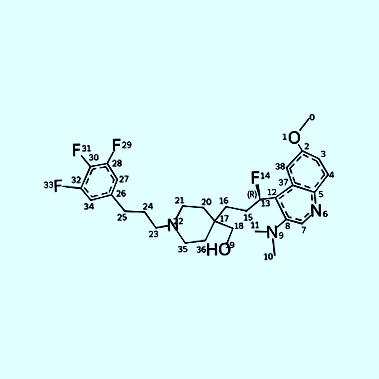 COc1ccc2ncc(N(C)C)c([C@H](F)CCC3(CO)CCN(CCCc4cc(F)c(F)c(F)c4)CC3)c2c1